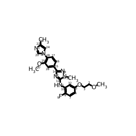 COCCOc1ccc(F)c(Nc2nc(-c3ccc(-n4cnc(C)c4)c(OC)c3)nn2C)c1